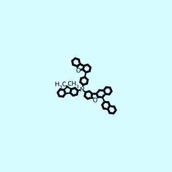 CC1(C)c2ccccc2-c2ccc(N(c3ccc(-c4cccc5c4oc4ccccc45)cc3)c3ccc4oc5c(-c6ccc7ccccc7c6)c6ccccc6cc5c4c3)cc21